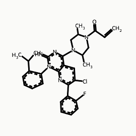 C=CC(=O)N1CC(C)N(c2nc(=N)n(-c3ccccc3C(C)C)c3nc(-c4ccccc4F)c(Cl)cc23)CC1C